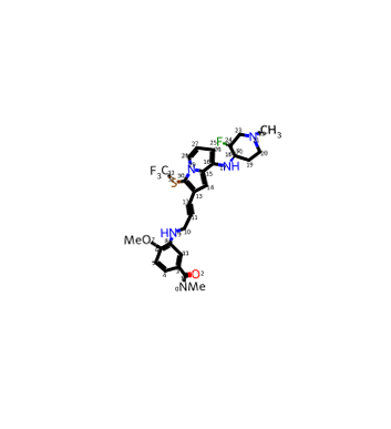 CNC(=O)c1ccc(OC)c(NCC#Cc2cc3c(N[C@@H]4CCN(C)C[C@@H]4F)cccn3c2SC(F)(F)F)c1